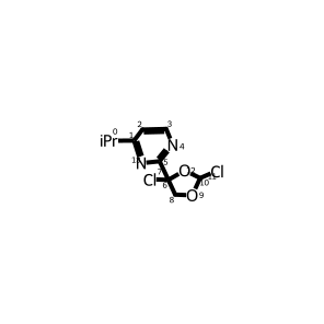 CC(C)c1ccnc(C2(Cl)COC(Cl)O2)n1